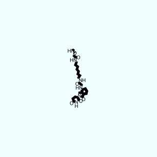 CNOCC(=O)NCCCCCCCCNC(=O)CNc1cccc2c1CN(C1CCC(=O)NC1=O)C2=O